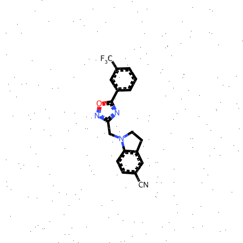 N#Cc1ccc2c(c1)CCN2Cc1noc(-c2cccc(C(F)(F)F)c2)n1